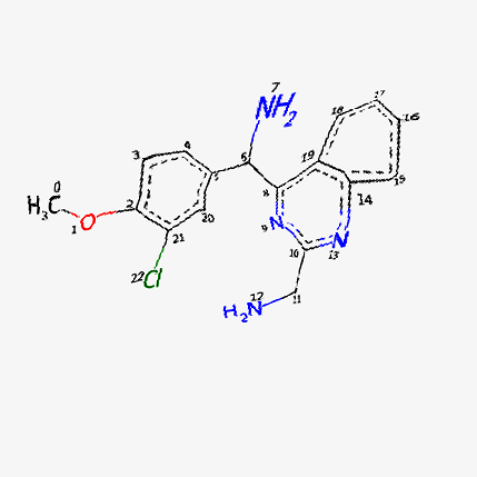 COc1ccc(C(N)c2nc(CN)nc3ccccc23)cc1Cl